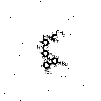 C=C/C=C(/Nc1ccc(Nc2ccc(-n3c4ccc(C(C)(C)C)cc4c4cc(C(C)(C)C)ccc43)cc2)cc1)C(C)C